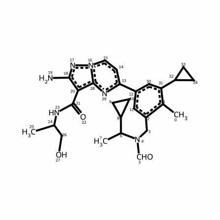 Cc1c(CN(C=O)C(C)C2CC2)cc(-c2ccn3nc(N)c(C(=O)NC(C)CO)c3n2)cc1C1CC1